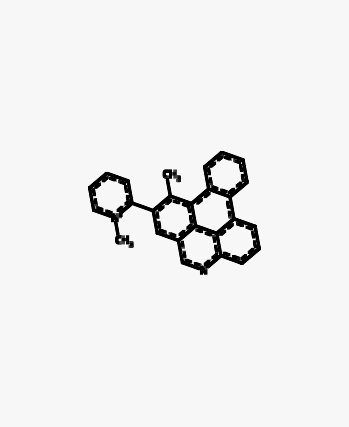 Cc1c(-c2cccc[n+]2C)cc2cnc3cccc4c5ccccc5c1c2c34